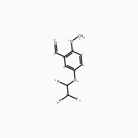 COc1ccc(OC(F)C(F)F)cc1C=O